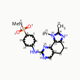 CNS(=O)(=O)c1ccc(Nc2ncc3c(n2)-c2c(nc(C)n2C(C)C)CC3)cc1